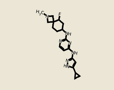 CN1CC2(CCC(Nc3nccc(Nc4cc(C5CC5)[nH]n4)n3)CC2F)C1